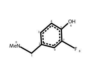 CNCc1ccc(O)c(F)c1